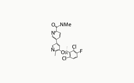 CNC(=O)c1ccc(-c2cnc(C)c(O[C@H](C)c3c(Cl)ccc(F)c3Cl)c2)cn1